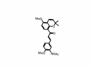 COc1ccc(C=CC(=O)c2ccc(OC)c3c2OC(C)(C)C=C3)cc1NC(C)=O